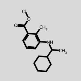 Cc1c(NC(C)C2CCCCC2)cccc1C(=O)OCl